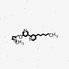 CCCCCCc1ccnc(-c2cncc(OC[C@@H]3CCN3C)c2)c1